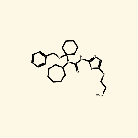 O=C(O)CCSc1cnc(NC(=O)N(C2CCCCCC2)C2(OCc3ccccc3)CCCCC2)s1